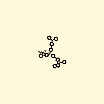 CC1(C)C2=C(C=CCC2)c2ccc(N(c3ccc(-c4ccc(N(c5ccccc5)c5ccccc5)cc4)cc3)c3ccc(-c4ccc5c(c4)c4c6ccccc6ccc4n5-c4ccccc4)cc3)cc21